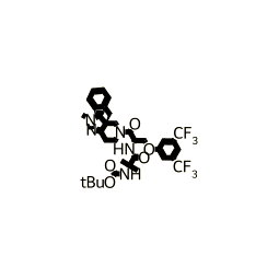 CN1N=C2CCN(C(=O)C(COc3cc(C(F)(F)F)cc(C(F)(F)F)c3)NC(=O)C(C)(C)NC(=O)OC(C)(C)C)C[C@@]2(Cc2ccccc2)C1=O